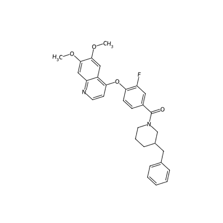 COc1cc2nccc(Oc3ccc(C(=O)N4CCCC(Cc5ccccc5)C4)cc3F)c2cc1OC